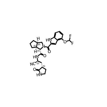 N#C[C@H](C[C@@H]1CCNC1=O)NC(=O)[C@@H]1[C@H]2CCC[C@H]2CN1C(=O)c1cc2c(OC(F)F)cccc2[nH]1